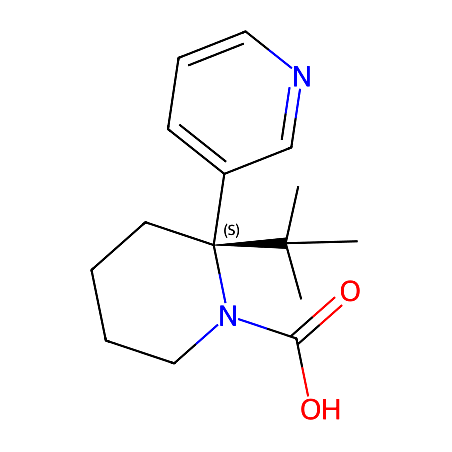 CC(C)(C)[C@]1(c2cccnc2)CCCCN1C(=O)O